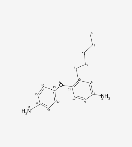 CCCCCc1cc(N)ccc1Oc1ccc(N)cc1